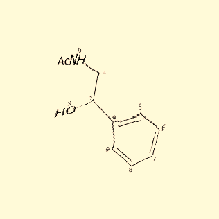 [CH2]C(=O)NCC(O)c1ccccc1